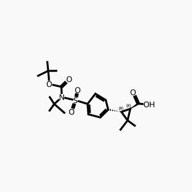 CC(C)(C)OC(=O)N(C(C)(C)C)S(=O)(=O)c1ccc([C@@H]2[C@@H](C(=O)O)C2(C)C)cc1